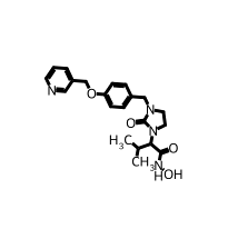 CC(C)C(C(=O)NO)N1CCN(Cc2ccc(OCc3cccnc3)cc2)C1=O